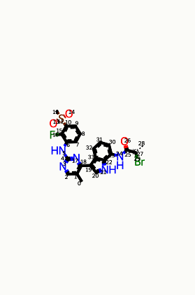 Cc1cnc(Nc2cccc(S(C)(=O)=O)c2F)nc1-c1c[nH]c2c(NC(=O)[C@H](C)Br)cccc12